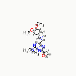 COc1cc2c(cc1OC)CN(Cc1cnc(N(C)C)n3nc(-c4ccco4)nc13)CC2